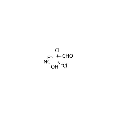 CCC(Cl)(C=O)CCl.N#CO